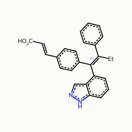 CC/C(=C(/c1ccc(C=CC(=O)O)cc1)c1cccc2[nH]ncc12)c1ccccc1